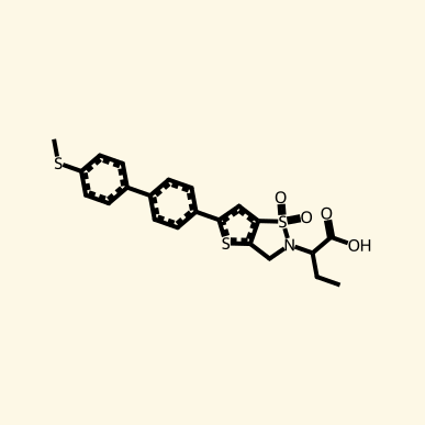 CCC(C(=O)O)N1Cc2sc(-c3ccc(-c4ccc(SC)cc4)cc3)cc2S1(=O)=O